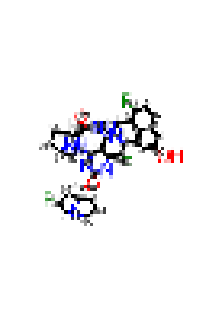 C#Cc1c(F)ccc2cc(O)cc(-c3nc4c5c(nc(OC[C@@]67CCCN6C[C@H](F)C7)nc5c3F)N3CC5CCC(N5)[C@@H]3C(=O)N4)c12